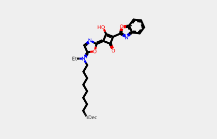 CCCCCCCCCCCCCCCCCC/[N+](CC)=C1C=N/C(=C2/C(=O)C(c3nc4ccccc4o3)=C2O)O/1